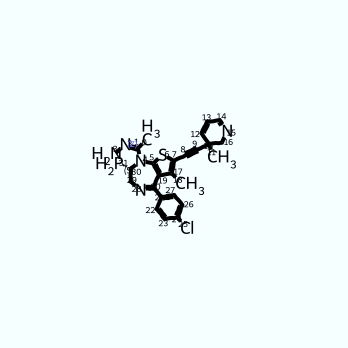 C/C(=N/N)N1c2sc(C#CC3(C)C=CC=NC3)c(C)c2C(c2ccc(Cl)cc2)=NC[C@@H]1P